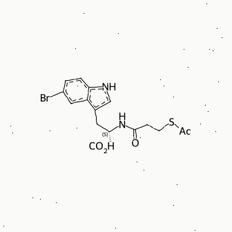 CC(=O)SCCC(=O)N[C@@H](Cc1c[nH]c2ccc(Br)cc12)C(=O)O